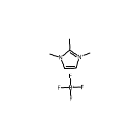 Cc1n(C)cc[n+]1C.F[B-](F)(F)F